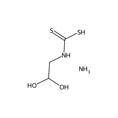 N.OC(O)CNC(=S)S